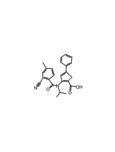 Cc1ccc(C(=O)N(c2cc(-c3ccccc3)sc2C(=O)O)C(C)C)c(C#N)c1